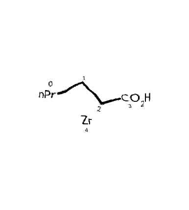 CCCCCC(=O)O.[Zr]